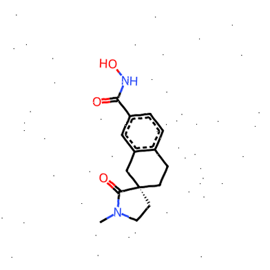 CN1CC[C@]2(CCc3ccc(C(=O)NO)cc3C2)C1=O